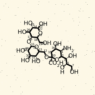 N[C@H]1C([C@H](O)[C@H](O)CO)O[C@@](OCC2O[C@@H](O[C@@H]3C(CO)OC(O)[C@@H](O)C3O)[C@@H](O)C(O)[C@H]2O)(C(=O)O)C[C@H]1O